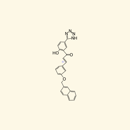 O=C(/C=C/c1cccc(OCc2ccc3ccccc3c2)c1)c1cc(-c2nnn[nH]2)ccc1O